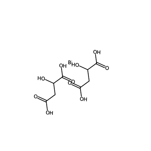 O=C(O)CC(O)C(=O)O.O=C(O)CC(O)C(=O)O.[B]